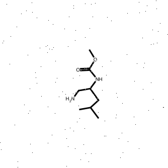 COC(=O)NC(CN)CC(C)C